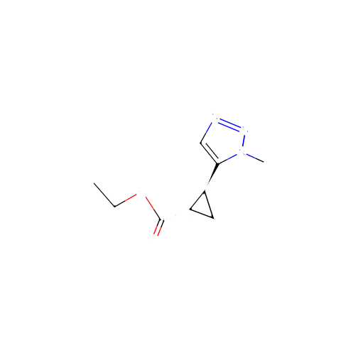 CCOC(=O)[C@H]1C[C@@H]1c1cnnn1C